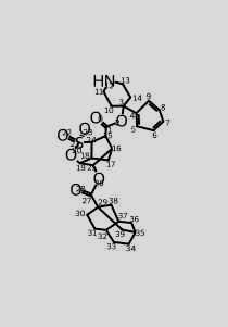 O=C(OC1(c2ccccc2)CCNCC1)C1C2CC3C(OS(=O)(=O)C31)C2OC(=O)C12CCC3CCC(CC3C1)C2